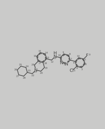 Fc1ccc(Cl)c(-c2ccc(NCc3cccc4c3CCN(CC3CCCCC3)C4)nn2)c1